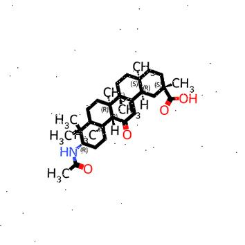 CC(=O)N[C@@H]1CC[C@@]2(C)C(CC[C@]3(C)[C@@H]2C(=O)C=C2[C@@H]4C[C@@](C)(C(=O)O)CC[C@]4(C)CC[C@]23C)C1(C)C